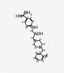 N=C(N)c1ccc(NCC(O)CN2CCN(Cc3ccccc3F)CC2)cc1